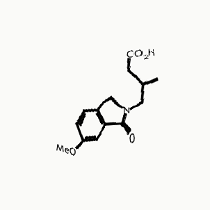 COc1ccc2c(c1)C(=O)N(CC(C)CC(=O)O)C2